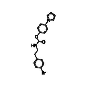 O=C(NCCc1ccc(Br)cc1)Oc1ccc(-n2cccc2)cc1